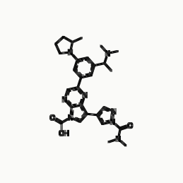 CC(c1cc(-c2cnc3c(n2)c(-c2cnn(C(=O)N(C)C)c2)cn3C(=O)O)cc(N2CCCC2C)c1)N(C)C